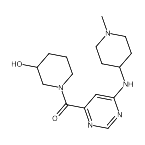 CN1CCC(Nc2cc(C(=O)N3CCCC(O)C3)ncn2)CC1